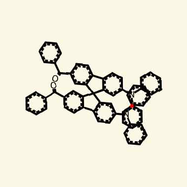 O=C(c1ccccc1)c1ccc2c(c1)C1(c3cc(C(=O)c4ccccc4)ccc3-c3ccc(N(c4ccccc4)c4ccccc4)cc31)c1cc(N(c3ccccc3)c3ccccc3)ccc1-2